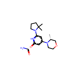 C[C@@H]1COCCN1c1cc(N2CCCC2(C)C)[nH]c(=O)c1.NC=O